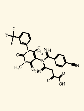 Cc1c(N(C(=N)CC(=O)C(=O)O)C(=N)c2ccc(C#N)cc2)c(=O)n(C)c(=O)n1-c1cccc(C(F)(F)F)c1